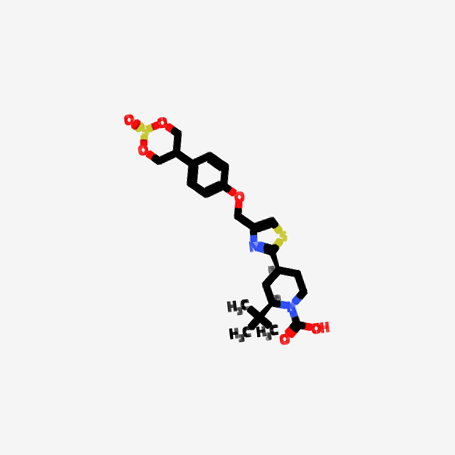 CC(C)(C)[C@H]1C[C@@H](c2nc(COc3ccc(C4COS(=O)OC4)cc3)cs2)CCN1C(=O)O